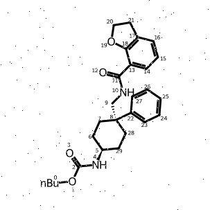 CCCCOC(=O)N[C@H]1CC[C@@](CNC(=O)c2cccc3c2OCC3)(c2ccccc2)CC1